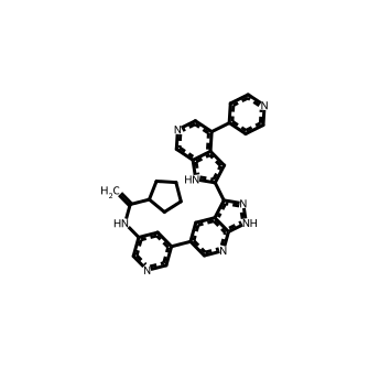 C=C(Nc1cncc(-c2cnc3[nH]nc(-c4cc5c(-c6ccncc6)cncc5[nH]4)c3c2)c1)C1CCCC1